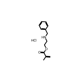 C=C(C)C(=O)OCCNCc1ccccc1.Cl